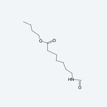 CCCCOC(=O)CCCCCCN[C]=O